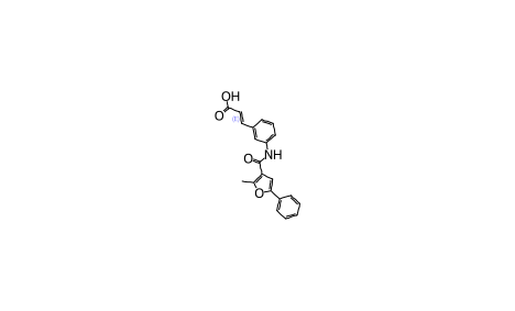 Cc1oc(-c2ccccc2)cc1C(=O)Nc1cccc(/C=C/C(=O)O)c1